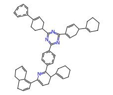 C1=CC2=C(C3=CCC(C4=CCCCC4)C(c4ccc(-c5nc(C6=CCC(C7=CCCCC7)C=C6)nc(C6CC=C(c7ccccc7)CC6)n5)cc4)=N3)C=CCC2CC1